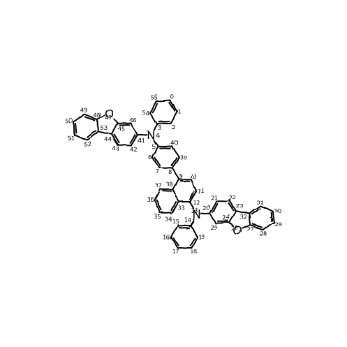 c1ccc(N(c2ccc(-c3ccc(N(c4ccccc4)c4ccc5c(c4)oc4ccccc45)c4ccccc34)cc2)c2ccc3c(c2)oc2ccccc23)cc1